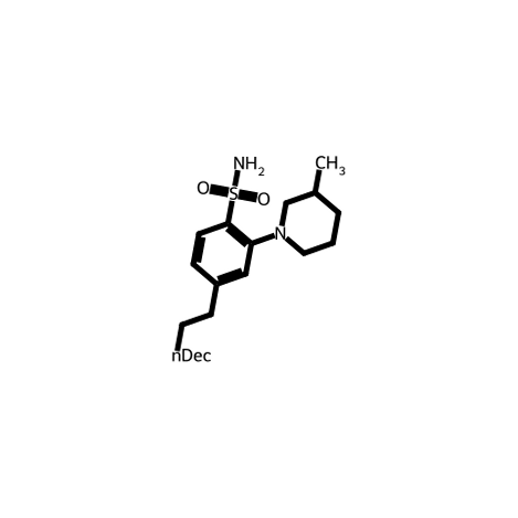 CCCCCCCCCCCCc1ccc(S(N)(=O)=O)c(N2CCCC(C)C2)c1